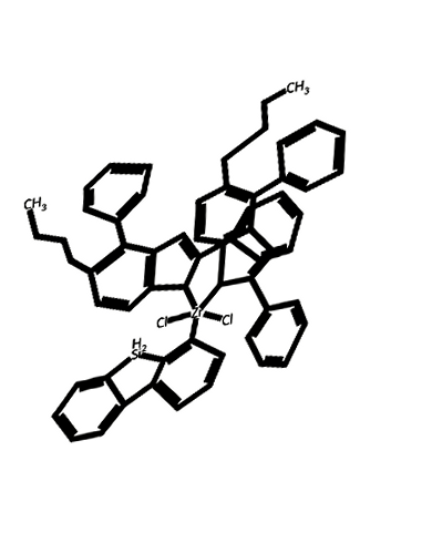 CCCCc1ccc2c(c1-c1ccccc1)C=C(c1ccccc1)[CH]2[Zr]([Cl])([Cl])([c]1cccc2c1[SiH2]c1ccccc1-2)[CH]1C(c2ccccc2)=Cc2c1ccc(CCCC)c2-c1ccccc1